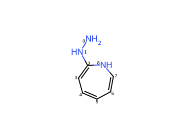 NNC1=CC=CC=CN1